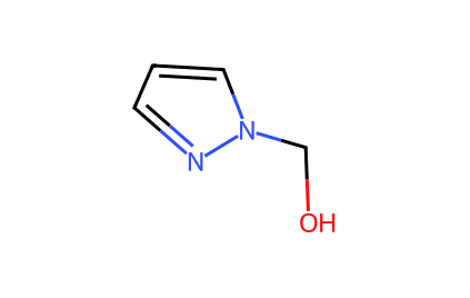 OCn1cccn1